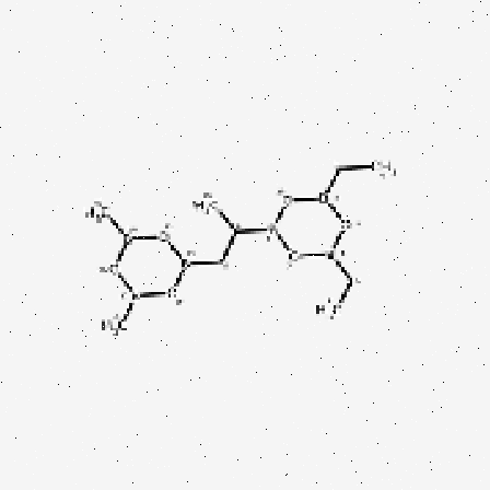 CCB1OB(CC)OB(C(C)CB2OB(C)OB(C)O2)O1